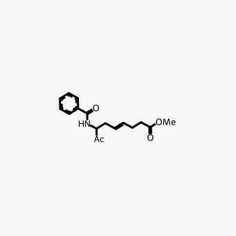 COC(=O)CC/C=C/CC(NC(=O)c1ccccc1)C(C)=O